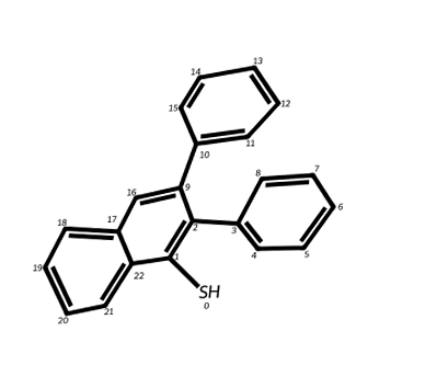 Sc1c(-c2ccccc2)c(-c2ccccc2)cc2ccccc12